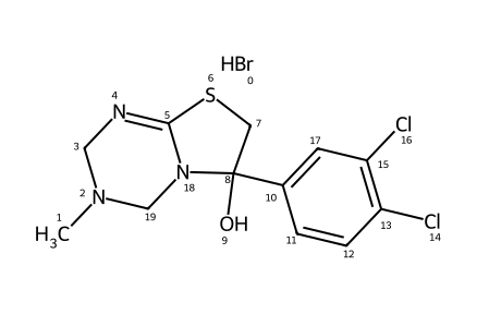 Br.CN1CN=C2SCC(O)(c3ccc(Cl)c(Cl)c3)N2C1